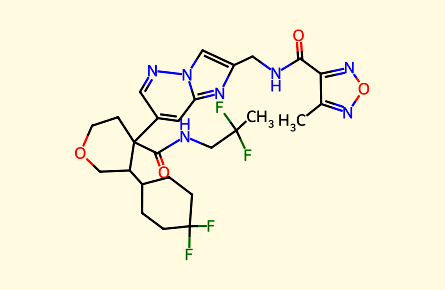 Cc1nonc1C(=O)NCc1cn2ncc(C3(C(=O)NCC(C)(F)F)CCOCC3C3CCC(F)(F)CC3)cc2n1